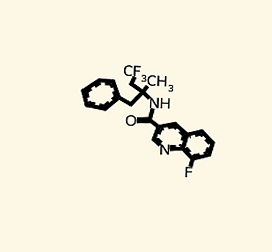 CC(Cc1ccccc1)(CC(F)(F)F)NC(=O)c1cnc2c(F)cccc2c1